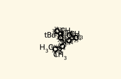 Cc1cc(C)c2sc3ccc(N(c4ccc5c(c4)C(C)(C)c4ccccc4-5)c4ccc5c(c4)C(C)(C)c4cccc(C(C)(C)C)c4-5)cc3c2c1